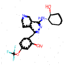 Oc1cc(OC(F)(F)F)ccc1-c1nnc(N[C@H]2CCCC[C@@H]2O)c2cnccc12